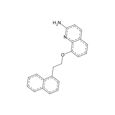 Nc1ccc2cccc(OCCc3cccc4ccccc34)c2n1